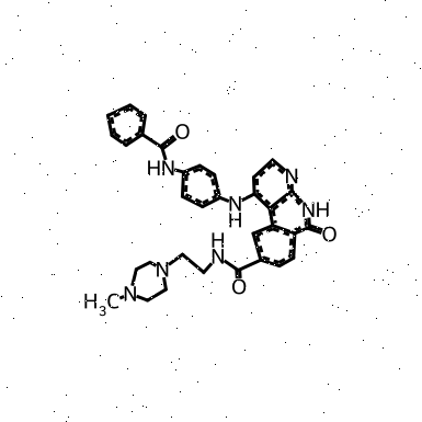 CN1CCN(CCNC(=O)c2ccc3c(=O)[nH]c4nccc(Nc5ccc(NC(=O)c6ccccc6)cc5)c4c3c2)CC1